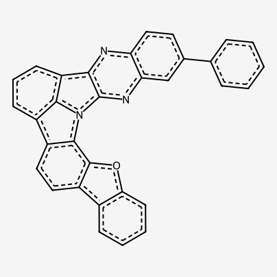 c1ccc(-c2ccc3nc4c5cccc6c7ccc8c9ccccc9oc8c7n(c4nc3c2)c65)cc1